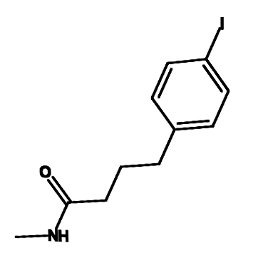 CNC(=O)CCCc1ccc(I)cc1